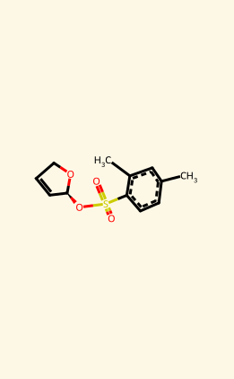 Cc1ccc(S(=O)(=O)O[C@H]2C=CCO2)c(C)c1